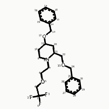 FC(F)(F)COCCN1CCC(OCc2ccccc2)CC1COCc1ccccc1